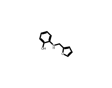 Oc1ccccc1NCc1ccco1